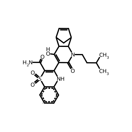 CC(C)CCN1C(=O)C(C2=C(C(N)=O)S(=O)(=O)c3c[c]ccc3N2)=C(O)C2C3C=CC(C3)C21